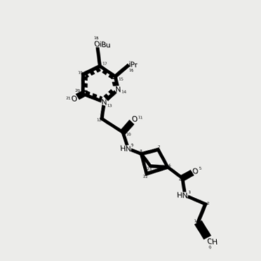 C#CCNC(=O)C12CC(NC(=O)Cn3nc(C(C)C)c(OCC(C)C)cc3=O)(C1)C2